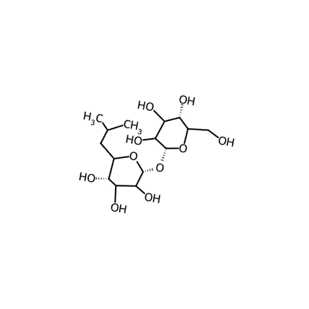 CC(C)CC1O[C@H](O[C@H]2OC(CO)[C@@H](O)C(O)C2O)C(O)C(O)[C@@H]1O